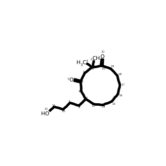 CC1(C)CC(=O)CC(CCCCO)CCCCCCCC1=O